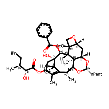 CCCCC[C@H]1O[C@H]2C[C@H]3OC[C@@]3(OC(C)=O)[C@H]3[C@H](OC(=O)c4ccccc4)[C@]4(O)C[C@H](OC(=O)[C@H](O)[C@@H](C)CC(C)C)C(C)=C([C@@H](C)[C@H](O1)[C@]23C)C4(C)C